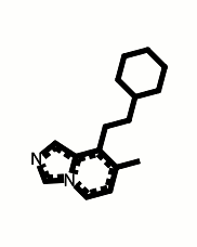 Cc1ccn2cncc2c1CCC1CCCCC1